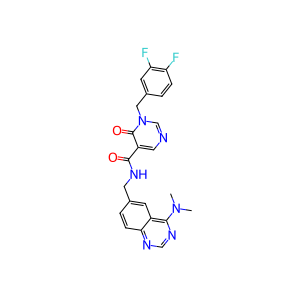 CN(C)c1ncnc2ccc(CNC(=O)c3cncn(Cc4ccc(F)c(F)c4)c3=O)cc12